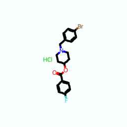 Cl.O=C(OC1CCN(Cc2ccc(Br)cc2)CC1)c1ccc(F)cc1